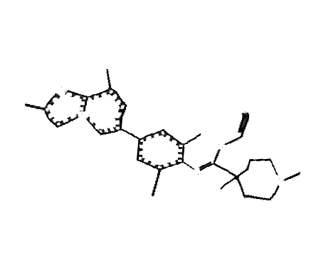 Cc1cn2cc(-c3cc(C)c(/N=C(\NC=O)C4(F)CCN(C)CC4)c(C)c3)cc(F)c2n1